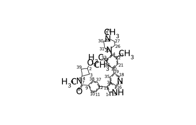 COC1CC(N(C)C(=O)c2ccc(-c3c[nH]c4ncc(-c5cc(C)c(N6CCN(C)CC6)c(C)c5)cc34)cc2)C1